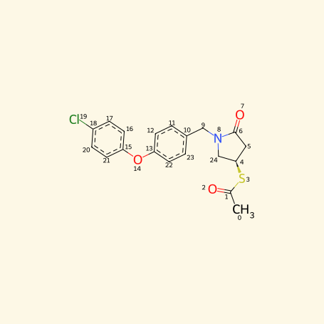 CC(=O)S[C@@H]1CC(=O)N(Cc2ccc(Oc3ccc(Cl)cc3)cc2)C1